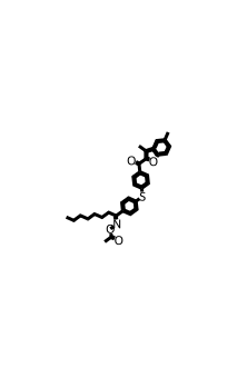 CCCCCCCC(=NOC(C)=O)c1ccc(Sc2ccc(C(=O)c3oc4ccc(C)cc4c3C)cc2)cc1